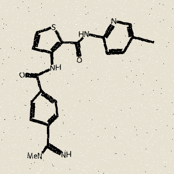 CNC(=N)c1ccc(C(=O)Nc2ccsc2C(=O)Nc2ccc(C)cn2)cc1